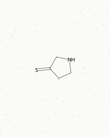 S=C1[CH]CNC1